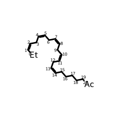 CC/C=C\C/C=C\C/C=C\C/C=C\C/C=C\CCCCCC(C)=O